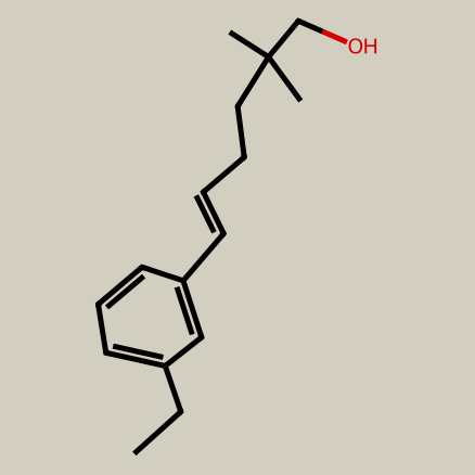 CCc1cccc(/C=C/CCC(C)(C)CO)c1